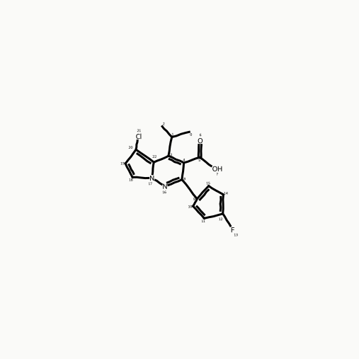 CC(C)c1c(C(=O)O)c(-c2ccc(F)cc2)nn2ccc(Cl)c12